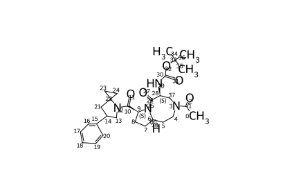 CC(=O)N1CC[C@H]2CC[C@@H](C(=O)N3CC(c4ccccc4)CC34CC4)N2C(=O)[C@@H](NC(=O)OC(C)(C)C)C1